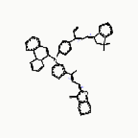 C=C/C(=C\C=C1/CC(C)(C)c2ccccc21)c1ccc(N(C2=Cc3ccccc3C3C=CC=CC23)c2cccc(/C(C)=C/C=c3/oc4ccccc4c3=C)c2)cc1